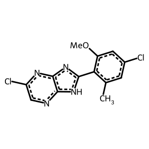 COc1cc(Cl)cc(C)c1-c1nc2nc(Cl)cnc2[nH]1